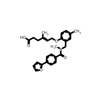 C/C(=C\COc1ccc(C)cc1CN(C)C(=O)c1ccc(-c2ccco2)cc1)CCC(=O)O